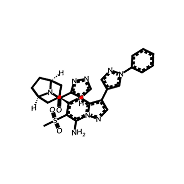 CS(=O)(=O)c1c([C@H]2C[C@H]3CC[C@@H](C2)N3C(=O)c2nnc[nH]2)nc2c(-c3cnn(-c4ccccc4)c3)cnn2c1N